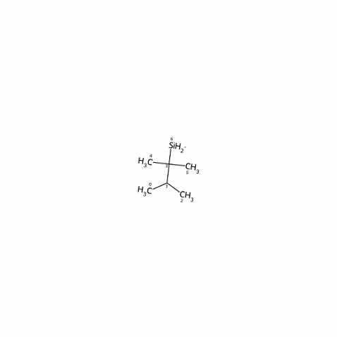 CC(C)C(C)(C)[SiH2]